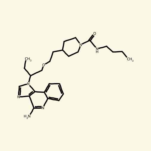 CCCCNC(=O)N1CCC(CCOCC(CC)n2cnc3c(N)nc4ccccc4c32)CC1